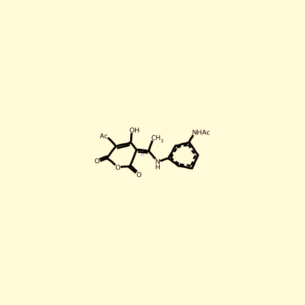 CC(=O)Nc1cccc(N/C(C)=C2\C(=O)OC(=O)C(C(C)=O)=C2O)c1